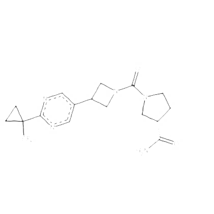 NC(=O)[C@H]1CCN(C(=O)N2CC(c3cnc(C4(C(F)(F)F)CC4)nc3)C2)C1